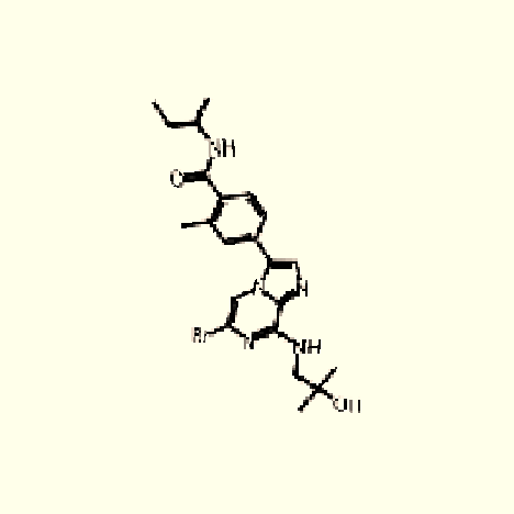 CCC(C)NC(=O)c1ccc(-c2cnc3c(NCC(C)(C)O)nc(Br)cn23)cc1C